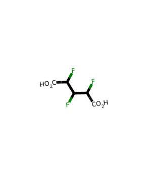 O=C(O)C(F)C(F)C(F)C(=O)O